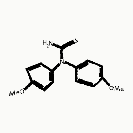 COc1ccc(N(C(N)=S)c2ccc(OC)cc2)cc1